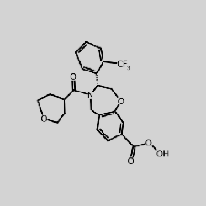 O=C(OO)c1ccc2c(c1)OC[C@@H](c1ccccc1C(F)(F)F)N(C(=O)C1CCOCC1)C2